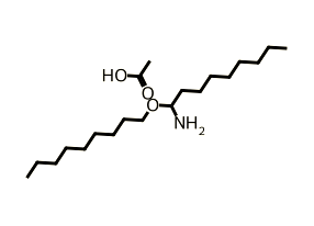 CC(=O)O.CCCCCCCCCOC(N)CCCCCCCC